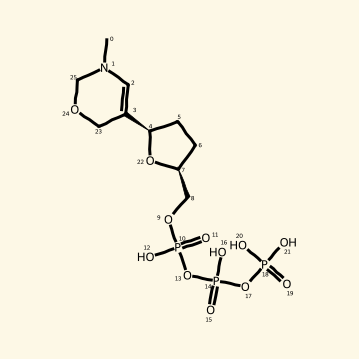 CN1C=C([C@H]2CC[C@@H](COP(=O)(O)OP(=O)(O)OP(=O)(O)O)O2)COC1